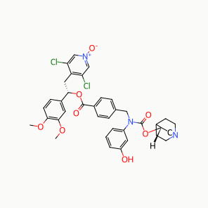 COc1ccc([C@H](Cc2c(Cl)c[n+]([O-])cc2Cl)OC(=O)c2ccc(CN(C(=O)O[C@H]3CN4CCC3CC4)c3cccc(O)c3)cc2)cc1OC